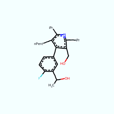 CCCCCc1c(C(C)C)nc(C(C)C)c(CO)c1-c1ccc(F)c(C(C)O)c1